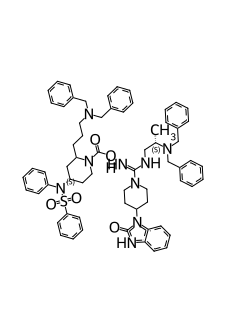 C[C@@H](CNC(=N)N1CCC(n2c(=O)[nH]c3ccccc32)CC1)N(Cc1ccccc1)Cc1ccccc1.O=C(O)N1CC[C@H](N(c2ccccc2)S(=O)(=O)c2ccccc2)CC1CCCN(Cc1ccccc1)Cc1ccccc1